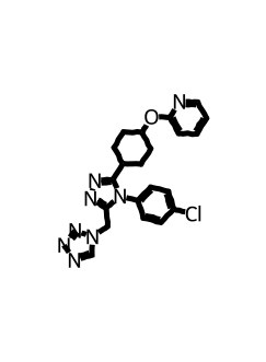 Clc1ccc(-n2c(Cn3cnnn3)nnc2C2CCC(Oc3ccccn3)CC2)cc1